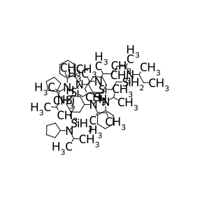 CCC(C)N([SiH2]CC[SiH](N(C(C)CC)C(C)CC)[Si](CC[Si](N(C(C)C)C1CCCCC1)(N(C(C)CC)C1CCCCC1)[SiH](CC[SiH2]N(C(C)C)C1CCCC1)N(C(C)C)C1CCCC1)(N(C(C)C)C1CCCCC1)N(C(C)CC)C1CCCCC1)C(C)CC